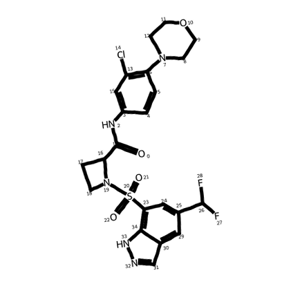 O=C(Nc1ccc(N2CCOCC2)c(Cl)c1)C1CCN1S(=O)(=O)c1cc(C(F)F)cc2cn[nH]c12